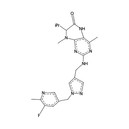 Cc1ncc(Cn2cc(CNc3nc(C)c4c(n3)N(C)C(C(C)C)C(=O)N4)cn2)cc1F